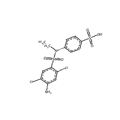 C.CN(c1ccc(S(=O)(=O)O)cc1)S(=O)(=O)c1cc(Cl)c(N)cc1Cl